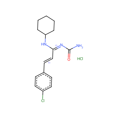 Cl.NC(=O)/N=C(\C=C\c1ccc(Cl)cc1)NC1CCCCC1